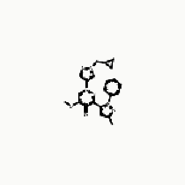 COc1cn(-c2cnn(CC3CC3)c2)nc(-c2cc(C)nn2-c2ccccc2)c1=O